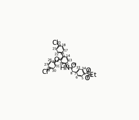 CCS(=O)(=O)c1ccc(CC(=O)Nc2ccc(-c3ccc(Cl)cc3)c(Oc3ccc(Cl)cc3)c2)cc1